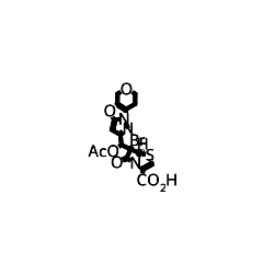 CC(=O)OC(c1cc2oc3c(n2n1)CCOC3)C1(Br)C(=O)N2C(C(=O)O)=CS[C@@H]21